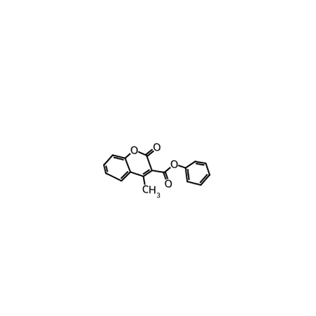 Cc1c(C(=O)Oc2ccccc2)c(=O)oc2ccccc12